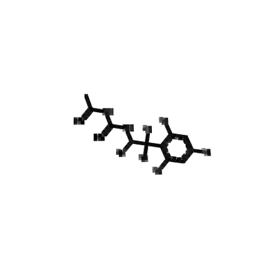 [2H]c1cc([2H])c(C([2H])([2H])C([2H])NC(=N)NC(C)=N)c([2H])c1